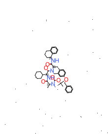 C[C@@H](C(=O)N[C@H](C(=O)N1Cc2cc(OCc3ccccc3)ccc2C[C@@H]1C(=O)N[C@H]1CCCc2ccccc21)C1CCCCC1)N(C)C(=O)OC(C)(C)C